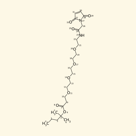 CCCC(C)(C)OC(=O)CCOCCOCCOCCOCCNC(=O)CN1C(=O)C=CC1=O